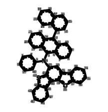 c1ccc(N(c2c3ccccc3c(-c3cccc4ccccc34)c3ccccc23)c2cc3c4ccccc4oc3c3c2sc2ccccc23)cc1